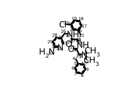 CN(C)[C@H](Cc1ccccc1)C(=O)N[C@@H](Cc1cccc(Cl)c1)C(=O)NCc1ccc(N)nc1